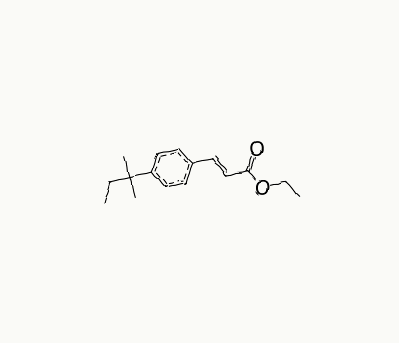 CCOC(=O)C=Cc1ccc(C(C)(C)CC)cc1